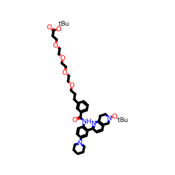 CC(C)(C)OC(=O)CCOCCOCCOCCOCCCc1cccc(C(=O)Nc2ccc(N3CCCCC3)cc2-c2ccc3c(n2)CCN(OC(C)(C)C)C3)c1